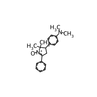 CN(C)c1ccc(C2CC(c3ccccc3)=[N+]([O-])C2(C)C)cc1